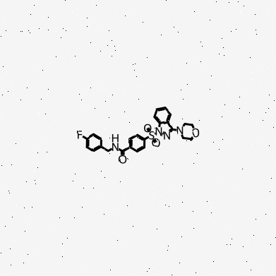 O=C(NCc1ccc(F)cc1)c1ccc(S(=O)(=O)n2nc(N3CCOCC3)c3ccccc32)cc1